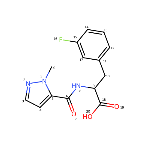 Cn1nccc1C(=O)NC(Cc1cccc(F)c1)C(=O)O